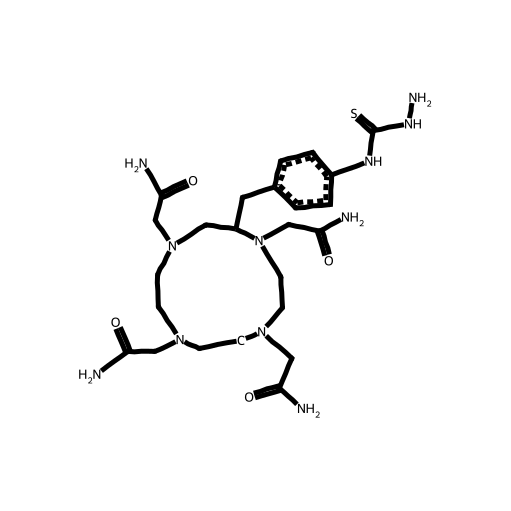 NNC(=S)Nc1ccc(CC2CN(CC(N)=O)CCN(CC(N)=O)CCN(CC(N)=O)CCN2CC(N)=O)cc1